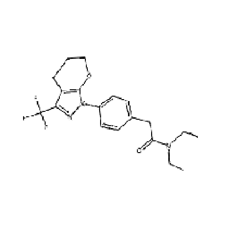 CCN(CC)C(=O)Cc1ccc(-n2nc(C(F)(F)F)c3c2OCCC3)cc1